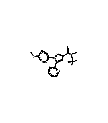 COc1ccc(-n2nc(C(=O)N(C)C(C)(C)C)cc2-c2ccccn2)nn1